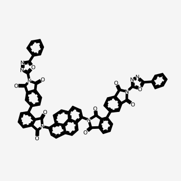 O=C1c2ccc(-c3cccc4c3C(=O)N(c3ccc5ccc6c(N7C(=O)c8cccc(-c9ccc%10c(c9)C(=O)N(c9nnc(-c%11ccccc%11)o9)C%10=O)c8C7=O)ccc7ccc3c5c76)C4=O)cc2C(=O)N1c1nnc(-c2ccccc2)o1